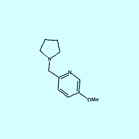 COc1ccc(CN2CCCC2)nc1